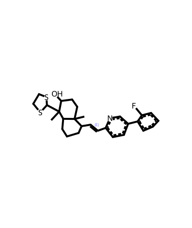 CC12CCC(O)C(C)(C3SCCS3)C1CCCC2/C=C/c1ccc(-c2ccccc2F)cn1